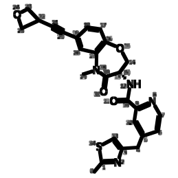 Cc1nc(Cc2ccnc(C(=O)N[C@H]3COc4ccc(C#CC5COC5)cc4N(C)C3=O)c2)cs1